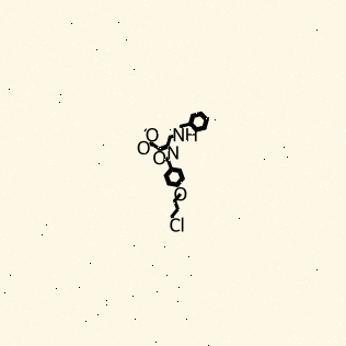 COC(=O)c1oc(-c2ccc(OCCCCl)cc2)nc1CNCc1ccccc1